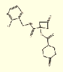 O=C1CCC(C(=O)OC2(C(=O)NCc3nccnc3Cl)CC(=O)C2)CC1